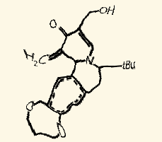 C=C1C(=O)C(CO)=CN2C1c1cc3c(cc1CC2C(C)(C)C)OCCCO3